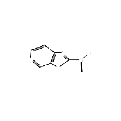 CCN(CC)c1nc2ccncc2s1